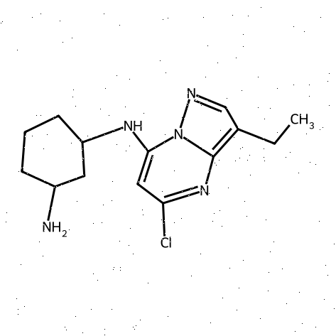 CCc1cnn2c(NC3CCCC(N)C3)cc(Cl)nc12